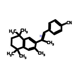 C/C(=C\c1ccc(C#N)cc1)c1cc2c(cc1C)C(C)(C)CCC2(C)C